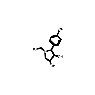 OCN1CC(O)C(O)C1c1ccc(O)cc1